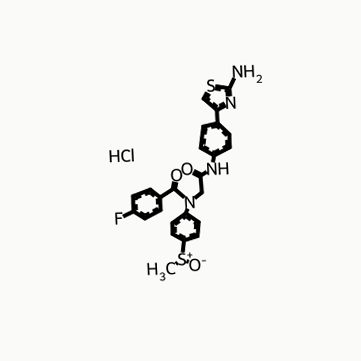 C[S+]([O-])c1ccc(N(CC(=O)Nc2ccc(-c3csc(N)n3)cc2)C(=O)c2ccc(F)cc2)cc1.Cl